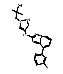 CC(C)(O)CN1C=C(Nc2nc3c(-c4cccc(F)c4)cccn3n2)CN1